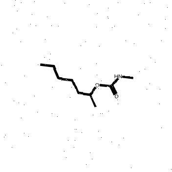 [CH2]CCCCC(C)OC(=O)NC